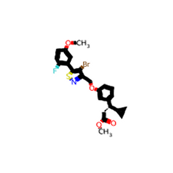 COC(=O)C[C@H](c1cccc(OCc2nsc(-c3cc(OC)ccc3F)c2Br)c1)C1CC1